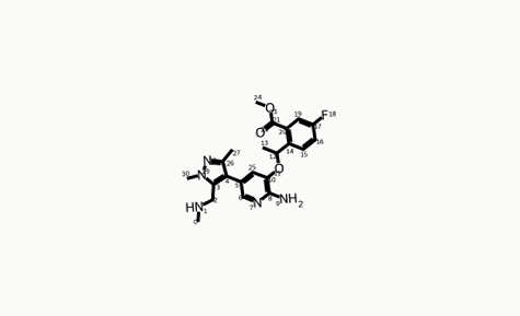 CNCc1c(-c2cnc(N)c(OC(C)c3ccc(F)cc3C(=O)OC)c2)c(C)nn1C